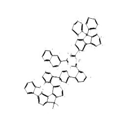 CC1(C)c2cccc3c2-c2c1ccc1c4ccccc4n(c21)-c1cccc(-c2ccc(-c4ccccc4-c4nc(-c5ccc6c(c5)-c5ccccc5C6(c5ccccc5)c5ccccc5)nc(-c5ccc6ccccc6c5)n4)cc2)c1-3